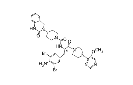 COc1cncnc1N1CCN(C(=O)[C@@H](Cc2cc(Br)c(N)c(Br)c2)NC(=O)N2CCC(N3Cc4ccccc4NC3=O)CC2)CC1